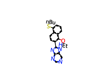 CCCCSc1cccc2c(OCC)c(-c3nc4ncncc4[nH]3)ccc12